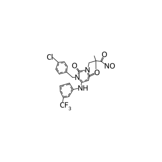 CC(C)(Cn1c(=O)cc(Nc2cccc(C(F)(F)F)c2)n(Cc2ccc(Cl)cc2)c1=O)C(=O)N=O